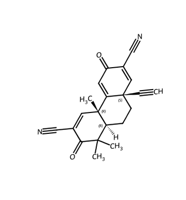 C#C[C@]12C=C(C#N)C(=O)C=C1[C@@]1(C)C=C(C#N)C(=O)C(C)(C)[C@@H]1CC2